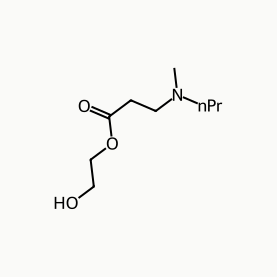 CCCN(C)CCC(=O)OCCO